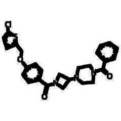 O=C(c1ccccc1)N1CCN(C2CN(C(=O)c3ccc(OCc4ccc(Cl)s4)cc3)C2)CC1